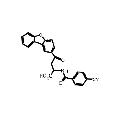 N#Cc1ccc(C(=O)NC(CC(=O)c2ccc3oc4ccccc4c3c2)C(=O)O)cc1